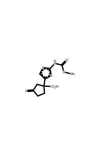 CCOC(=O)C1(c2csc(NC(=O)OC(C)(C)C)n2)CCC(=O)C1